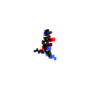 C=CCO/N=C(\C(=O)NC1C(=O)N2C(C(=O)O)=C(CSc3nnnn3C)CS[C@H]12)c1csc(N)n1